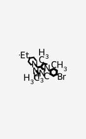 [CH2][CH]C1CCN(c2nc(C)nc3c2c(C)cn3-c2c(C)cc(Br)cc2C)CC1